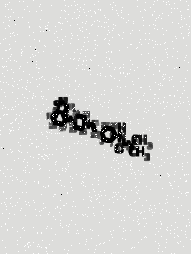 CN(C)C(=O)N[C@H]1CC[C@H](CCN2CCN(c3cccc4sncc34)CC2)CC1